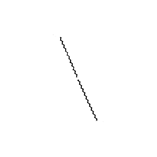 CCCCCCCCCCCCCCCCCCCCCCCCCCCCCCCCOCCCCCCCCCCCCCCCCCCCCCCCCCCCCCCCC